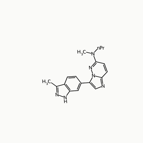 CCCN(C)c1ccc2ncc(-c3ccc4c(C)n[nH]c4c3)n2n1